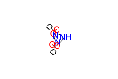 O=C(ON1CCNCCN(OC(=O)c2ccccc2)CC1)c1ccccc1